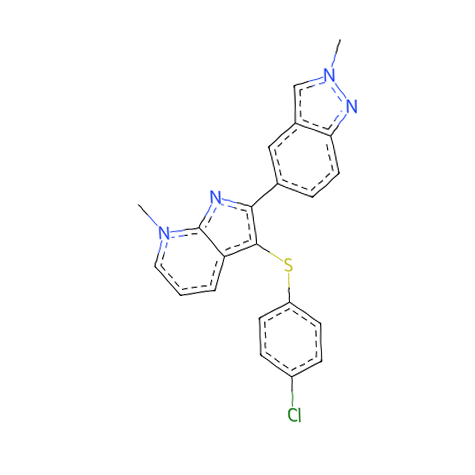 Cn1cc2cc(-c3nc4n(C)cccc-4c3Sc3ccc(Cl)cc3)ccc2n1